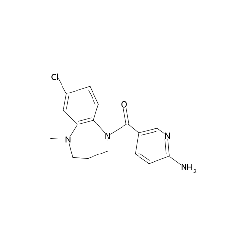 CN1CCCN(C(=O)c2ccc(N)nc2)c2ccc(Cl)cc21